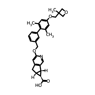 Cc1cc(OCC2(C)COC2)cc(C)c1-c1cccc(COc2cc3c(cn2)[C@H]2[C@@H](C3)[C@@H]2C(=O)O)c1